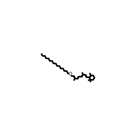 CCCCCCCCCCCCCCCCOCC=C(C)C=CC=C(C)C=CC1=C(C)CCCC1(C)C